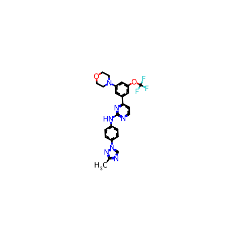 Cc1ncn(-c2ccc(Nc3nccc(-c4cc(OC(F)(F)F)cc(N5CCOCC5)c4)n3)cc2)n1